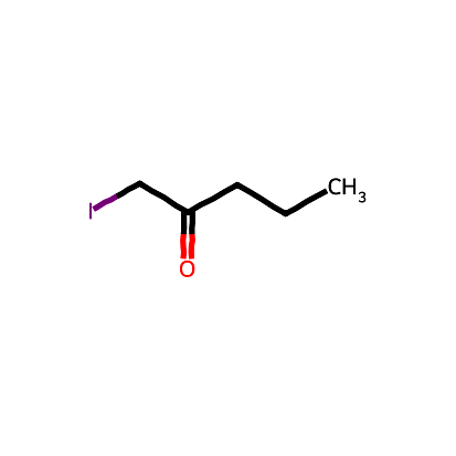 CCCC(=O)CI